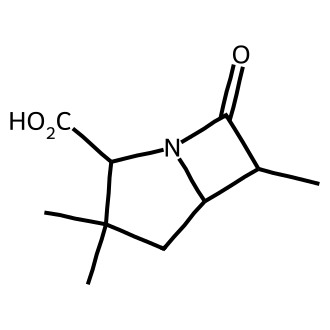 CC1C(=O)N2C1CC(C)(C)C2C(=O)O